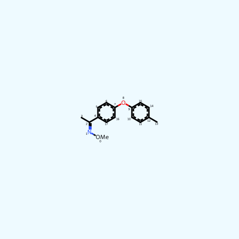 CO/N=C(/C)c1ccc(Oc2ccc(C)cc2)cc1